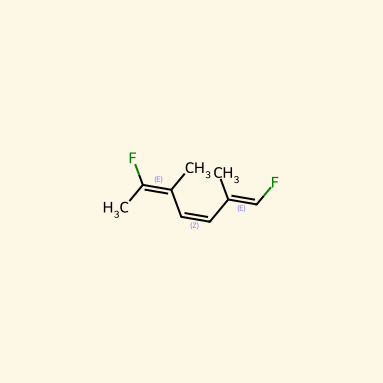 CC(/C=C\C(C)=C(/C)F)=C\F